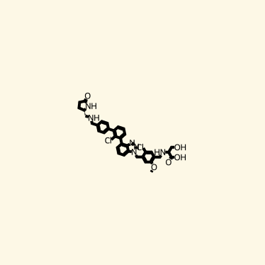 COc1cc(Cn2nnc3c(-c4cccc(-c5ccc(CNC[C@@H]6CCC(=O)N6)cc5)c4Cl)cccc32)c(Cl)cc1CNC(CO)C(=O)O